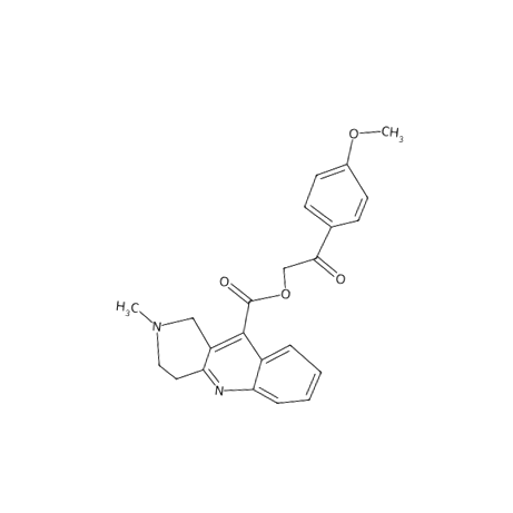 COc1ccc(C(=O)COC(=O)c2c3c(nc4ccccc24)CCN(C)C3)cc1